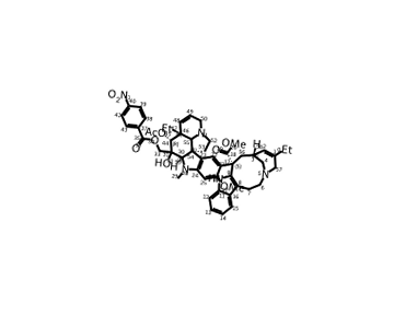 CCC1=C[C@@H]2CN(CCc3c([nH]c4ccccc34)[C@@](C(=O)OC)(c3cc4c(cc3OC)N(C)[C@H]3C(O)(COC(=O)c5ccc([N+](=O)[O-])cc5)[C@H](OC(C)=O)[C@]5(CC)C=CCN6CC[C@]43C65)C2)C1